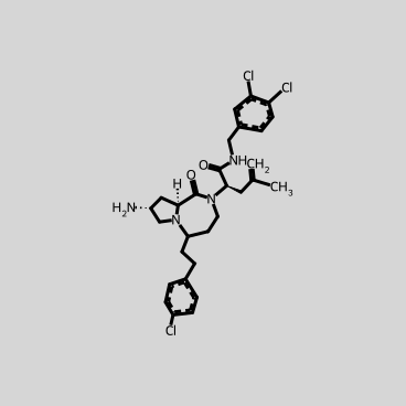 C=C(C)C[C@H](C(=O)NCc1ccc(Cl)c(Cl)c1)N1CCC(CCc2ccc(Cl)cc2)N2C[C@H](N)C[C@H]2C1=O